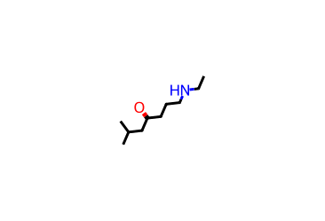 CCNCCCC(=O)CC(C)C